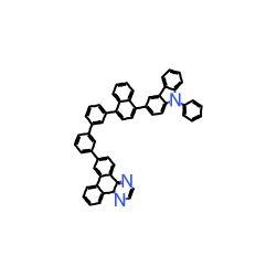 c1ccc(-n2c3ccccc3c3cc(-c4ccc(-c5cccc(-c6cccc(-c7ccc8c(c7)c7ccccc7c7nccnc87)c6)c5)c5ccccc45)ccc32)cc1